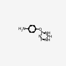 Nc1ccc(Op2np[nH][pH][nH]2)cc1